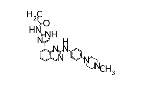 C=CC(=O)Nc1nc(-c2cccc3cnc(Nc4ccc(N5CCN(C)CC5)cc4)nc23)c[nH]1